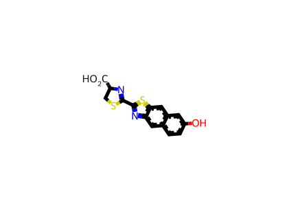 O=C(O)C1CSC(c2nc3cc4ccc(O)cc4cc3s2)=N1